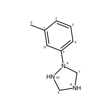 Cc1cccc(N2CNCN2)c1